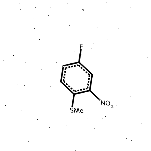 CSc1ccc(F)cc1[N+](=O)[O-]